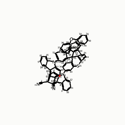 N#Cc1ccc2c(c1)c1ccccc1n2-c1ccc2c(c1)Sc1cccc(N3c4ccccc4Oc4ccccc43)c1C21c2cccnc2-c2ncc(-n3c4ccccc4c4cc(C#N)ccc43)cc21